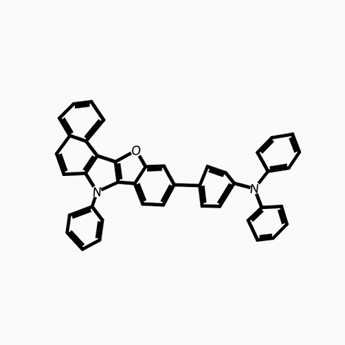 c1ccc(N(c2ccccc2)c2ccc(-c3ccc4c(c3)oc3c5c6ccccc6ccc5n(-c5ccccc5)c43)cc2)cc1